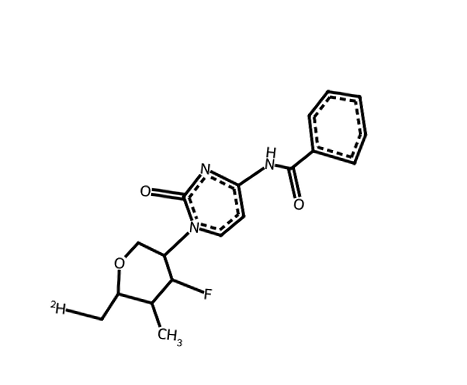 [2H]CC1OCC(n2ccc(NC(=O)c3ccccc3)nc2=O)C(F)C1C